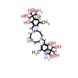 Cc1cc(CN2CCCN(Cc3cc(C)cc(C(CO)(CO)C(N)=O)c3O)CCNCC2)c(O)c(C(CO)(CO)C(N)=O)c1